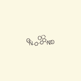 O=C1CC=Cc2cc(CN3CCOCC3)c3ccc(-c4ccc(CN5CCOCC5)cc4)cc3c21